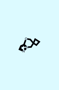 c1cc2n(n1)CC1(CCC1)CO2